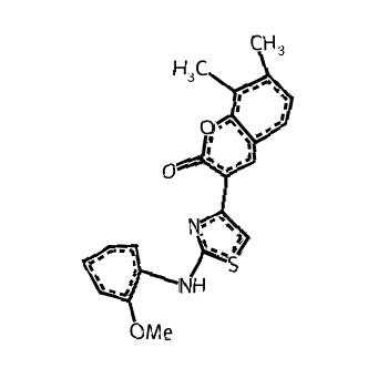 COc1ccccc1Nc1nc(-c2cc3ccc(C)c(C)c3oc2=O)cs1